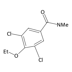 CCOc1c(Cl)cc(C(=O)NC)cc1Cl